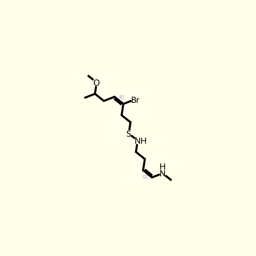 CN/C=C\CCNSCC/C(Br)=C\CC(C)OC